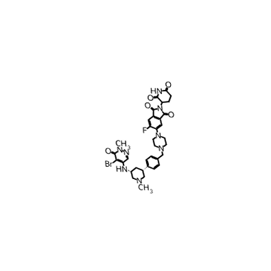 CN1C[C@H](Nc2cnn(C)c(=O)c2Br)C[C@H](c2ccc(CN3CCN(c4cc5c(cc4F)C(=O)N(C4CCC(=O)NC4=O)C5=O)CC3)cc2)C1